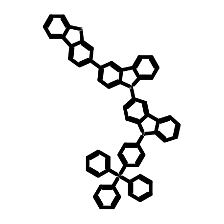 c1ccc([Si](c2ccccc2)(c2ccccc2)c2ccc(-n3c4ccccc4c4cc(-n5c6ccccc6c6cc(-c7ccc8c(c7)sc7ccccc78)ccc65)ccc43)cc2)cc1